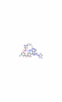 Cc1ncc(COc2cc(F)cc(Oc3ccc(-c4nn(CCN5CCCC5)c5ncnc(N)c45)cc3)c2)s1